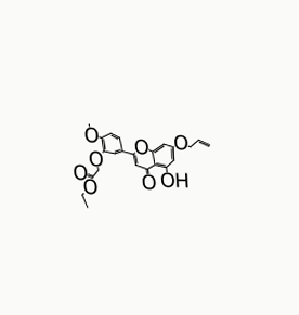 C=CCOc1cc(O)c2c(=O)cc(-c3ccc(OC)c(OCC(=O)OCC)c3)oc2c1